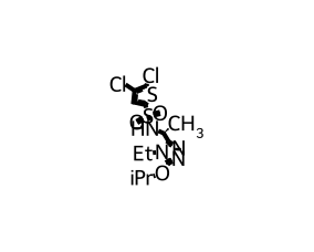 CCn1c(OC(C)C)nnc1[C@@H](C)NS(=O)(=O)c1cc(Cl)c(Cl)s1